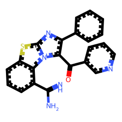 N=C(N)c1cccc2sc3nc(-c4ccccc4)c(C(=O)c4cccnc4)n3c12